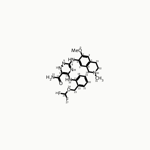 COc1cc2c(cc1Nc1nnc(C(N)=O)c(Nc3ccccc3COC(F)F)n1)CN(C)CC2